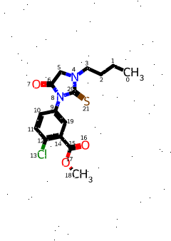 CCCCN1CC(=O)N(c2ccc(Cl)c(C(=O)OC)c2)C1=S